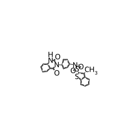 Cc1c(S(=O)(=O)[N]c2ccc(-n3c(=O)[nH]c4ccccc4c3=O)cc2)sc2ccccc12